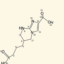 O=C(O)CCCC1CNc2nc(C(=O)O)cn2C1